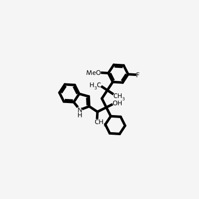 COc1ccc(F)cc1C(C)(C)CC(O)(C1CCCCC1)C(C)c1cc2ccccc2[nH]1